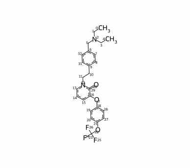 CCN(CC)Cc1ccc(CCn2cccc(Oc3ccc(OC(F)(F)F)cc3)c2=O)cc1